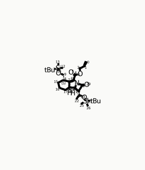 C=CCOC(=O)C1=C2[C@@H](CO[Si](C)(C)C(C)(C)C)CCC[C@@H]2[C@@H]2[C@@H](C(C)O[Si](C)(C)C(C)(C)C)C(=O)N12